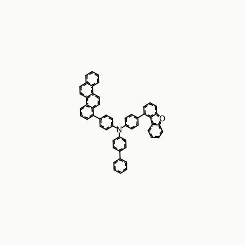 c1ccc(-c2ccc(N(c3ccc(-c4cccc5c4ccc4c6ccccc6ccc54)cc3)c3ccc(-c4cccc5oc6ccccc6c45)cc3)cc2)cc1